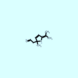 CC(C)=C1C=CC(C)(CC=O)S1